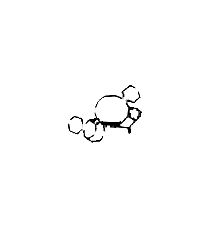 COc1c2c3c4c(c1[N+]1(CCCO4)CCOCC1)OCCC[N+]1(CCOCC1)c1cccc(c1-2)C3=O